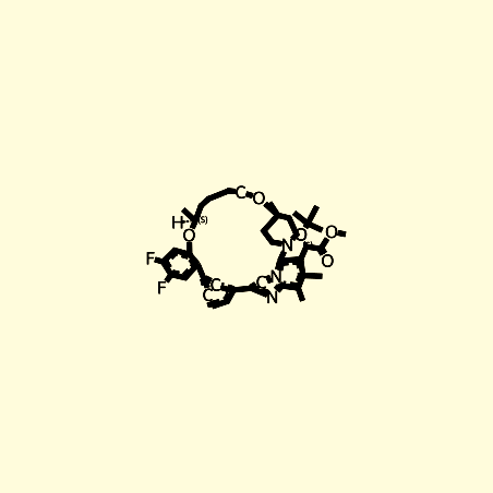 COC(=O)[C@@H](OC(C)(C)C)c1c(C)c(C)c2nc3cn2c1N1CCC(C)(CC1)OCCCC[C@H](C)Oc1cc(F)c(F)cc1-c1cccc-3c1